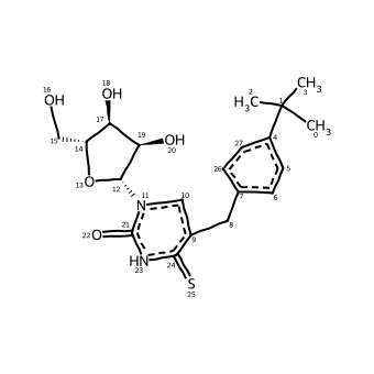 CC(C)(C)c1ccc(Cc2cn([C@@H]3O[C@H](CO)[C@@H](O)[C@H]3O)c(=O)[nH]c2=S)cc1